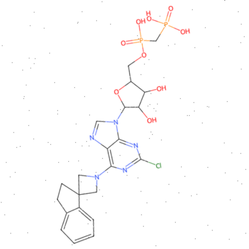 O=P(O)(O)CP(=O)(O)OCC1OC(n2cnc3c(N4CC5(CCc6ccccc65)C4)nc(Cl)nc32)C(O)C1O